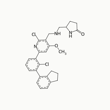 COc1cc(-c2cccc(-c3cccc4c3CCC4)c2Cl)nc(Cl)c1CNCC1CCC(=O)N1